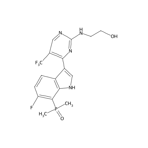 CP(C)(=O)c1c(F)ccc2c(-c3nc(NCCO)ncc3C(F)(F)F)c[nH]c12